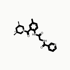 Cc1ccc(NC(=O)CNC(=O)c2cccnc2)c(C(=O)N2C[C@H](C)C[C@H](C)C2)c1